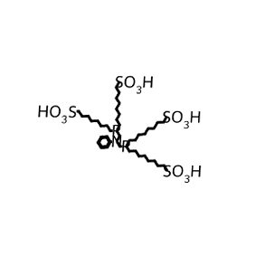 O=S(=O)(O)CCCCCCCCP(CCCCCCCCS(=O)(=O)O)CN(CP(CCCCCCCCS(=O)(=O)O)CCCCCCCCS(=O)(=O)O)c1ccccc1